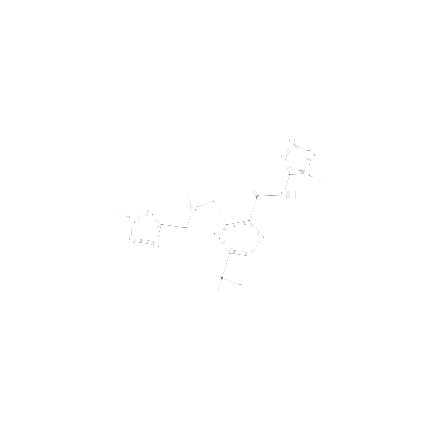 CN(Cc1nnn(C)n1)Cc1nc(C(F)(F)F)ccc1C(=O)Nc1nnnn1C